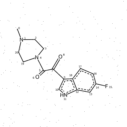 CN1CCN(C(=O)C(=O)c2c[nH]c3cc(F)ccc23)CC1